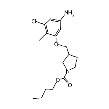 CCCCOC(=O)N1CCC(COc2cc(N)cc(Cl)c2C)C1